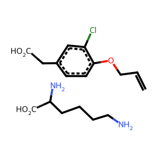 C=CCOc1ccc(CC(=O)O)cc1Cl.NCCCCC(N)C(=O)O